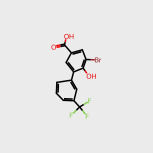 O=C(O)c1cc(Br)c(O)c(-c2cccc(C(F)(F)F)c2)c1